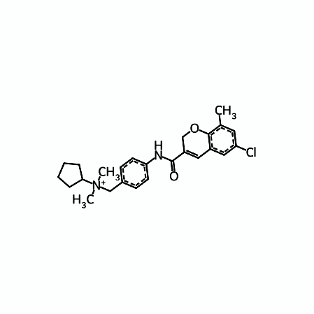 Cc1cc(Cl)cc2c1OCC(C(=O)Nc1ccc(C[N+](C)(C)C3CCCC3)cc1)=C2